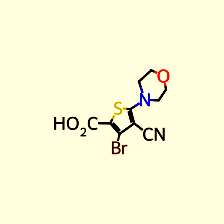 N#Cc1c(N2CCOCC2)sc(C(=O)O)c1Br